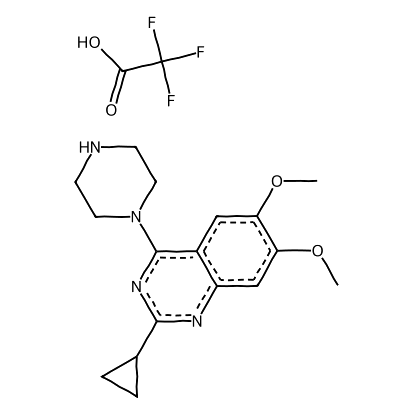 COc1cc2nc(C3CC3)nc(N3CCNCC3)c2cc1OC.O=C(O)C(F)(F)F